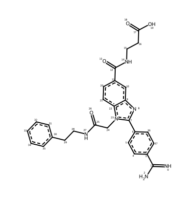 N=C(N)c1ccc(-c2nc3cc(C(=O)NCCC(=O)O)ccc3n2CC(=O)NCCc2ccccc2)cc1